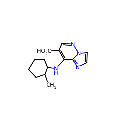 CC1CCCCC1Nc1c(C(=O)O)cnn2ccnc12